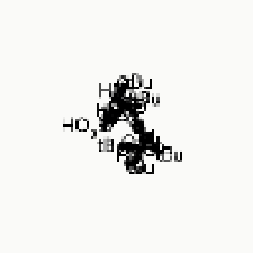 Cn1c(-c2ccc(OCC(O/N=C(\C(=O)NC3C(=O)N(OS(=O)(=O)O)C3(C)C)c3csc(NC(=O)OC(C)(C)C)n3)C(=O)OC(C)(C)C)cc2)cn(CC(CNC(=O)OC(C)(C)C)CNC(=O)OC(C)(C)C)c1=NC(=O)OC(C)(C)C